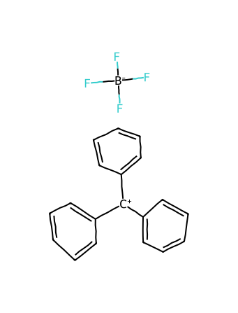 F[B-](F)(F)F.c1ccc([C+](c2ccccc2)c2ccccc2)cc1